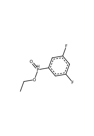 CCO[PH](=O)c1cc(F)cc(F)c1